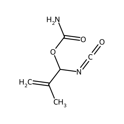 C=C(C)C(N=C=O)OC(N)=O